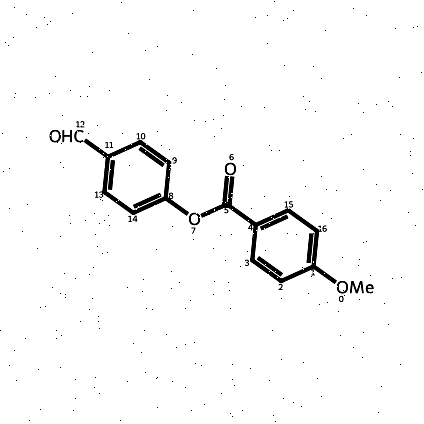 COc1ccc(C(=O)Oc2ccc(C=O)cc2)cc1